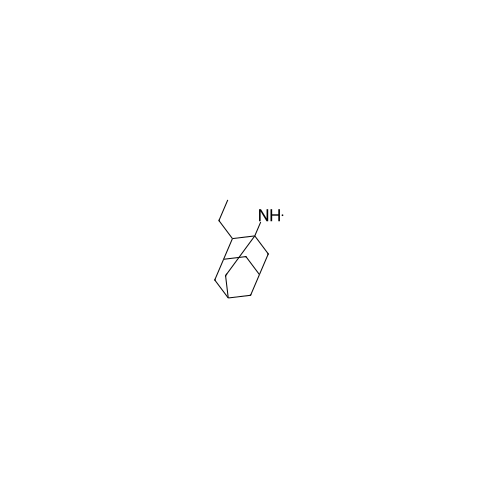 CCC1C2CC3CC(C2)CC1([NH])C3